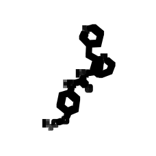 COc1ccc(NC(=O)NC2C3CCN(CC3)C2Cc2cccnc2)cc1